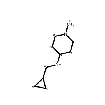 CN1CCC(NCC2CC2)CC1